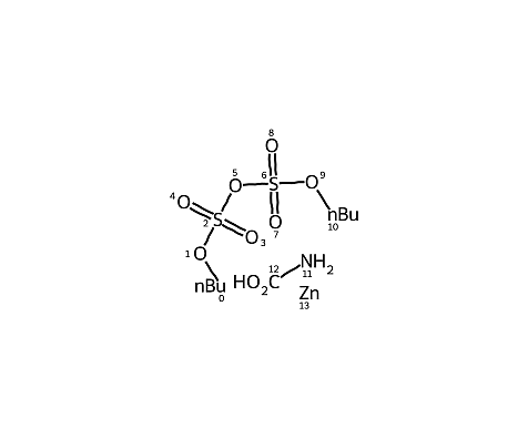 CCCCOS(=O)(=O)OS(=O)(=O)OCCCC.NC(=O)O.[Zn]